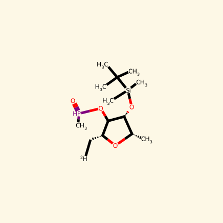 [2H]C[C@H]1O[C@@H](C)[C@@H](O[Si](C)(C)C(C)(C)C)C1O[PH](C)=O